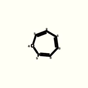 [C]1=CC=COP=C1